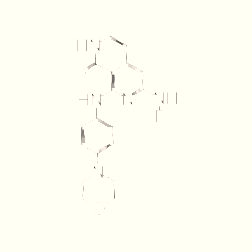 CCNc1cc2cc[nH]c(=O)c2c(Nc2ccc(N3CCOCC3)cc2)n1